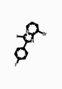 Fc1ccc(-c2nc3c(Br)cccn3c2I)cc1